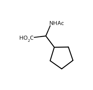 CC(=O)NC(C(=O)O)C1CCCC1